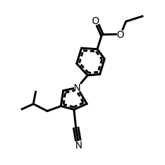 CCOC(=O)c1ccc(-n2cc(C#N)c(CC(C)C)c2)cc1